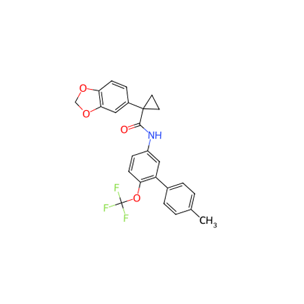 Cc1ccc(-c2cc(NC(=O)C3(c4ccc5c(c4)OCO5)CC3)ccc2OC(F)(F)F)cc1